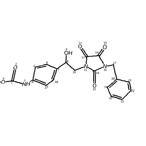 COC(=O)Nc1ccc(C(O)CN2C(=O)C(=O)N(Cc3ccccc3)C2=O)cc1